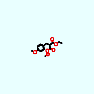 CCOC(=O)C(Cc1ccc(OC)cc1)C(=O)OOC